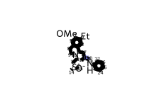 CCc1cc2c(cc1OC)CCN(CC[S+](C)[O-])C2C/C(C)=C/Nc1ccccc1